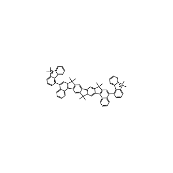 CC1(C)c2cc3c(cc2-c2cc4c(cc21)-c1c(cc(-c2cccc5c2-c2ccccc2[Si]5(C)C)c2ccccc12)C4(C)C)C(C)(C)c1cc(-c2cccc4c2-c2ccccc2[Si]4(C)C)c2ccccc2c1-3